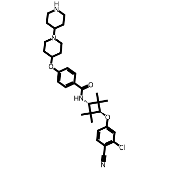 CC1(C)[C@H](NC(=O)c2ccc(OC3CCN(C4CCNCC4)CC3)cc2)C(C)(C)[C@H]1Oc1ccc(C#N)c(Cl)c1